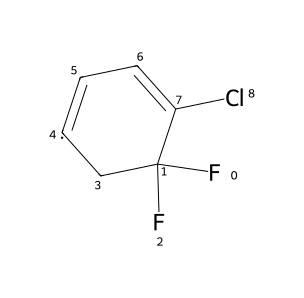 FC1(F)C[C]=CC=C1Cl